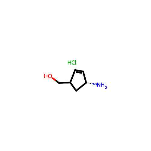 Cl.N[C@H]1C=CC(CO)C1